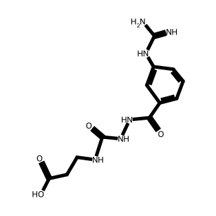 N=C(N)Nc1cccc(C(=O)NNC(=O)NCCC(=O)O)c1